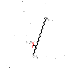 CCCCC=C(CCCCCCCCCCCCCC)C(=O)OC